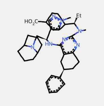 CC[C@H](C1CCC(C(=O)O)CC1)N(C)c1nc2c(c(N[C@@H](CN3C4CCCC3CCC4)c3cnn(C)c3)n1)C[C@H](c1ccccc1)CC2